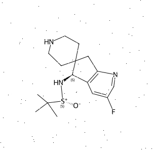 CC(C)(C)[S@@+]([O-])N[C@@H]1c2cc(F)cnc2CC12CCNCC2